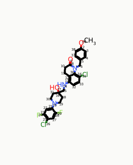 COc1ccc(CN2C(=O)CCc3c(NCC4(O)CCN(c5cc(F)c(Cl)cc5F)CC4)ccc(Cl)c32)cc1